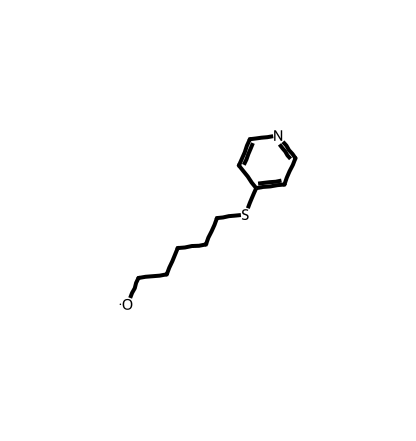 [O]CCCCCSc1ccncc1